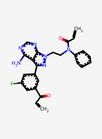 C=CC(=O)c1cc(F)cc(-c2nn(CCN(C(=O)C=C)c3ccccc3)c3ncnc(N)c23)c1